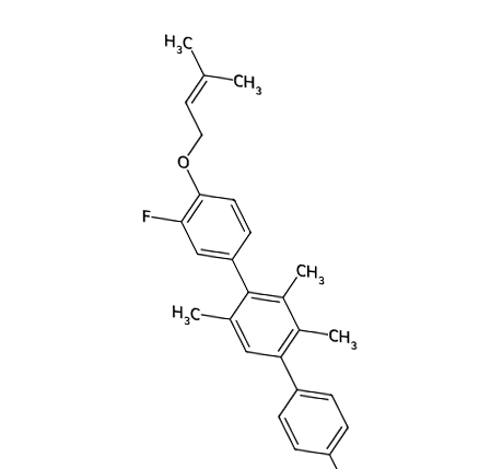 CC(C)=CCOc1ccc(-c2c(C)cc(-c3ccc(O)cc3)c(C)c2C)cc1F